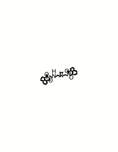 CC(C)N(CCCNCCN1C(=O)c2cccc3cccc(c23)C1=O)CCCN1C(=O)c2cccc3cccc(c23)C1=O